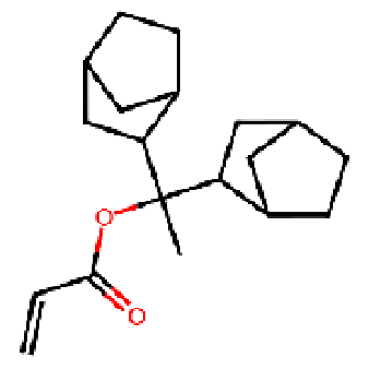 C=CC(=O)OC(C)(C1CC2CCC1C2)C1CC2CCC1C2